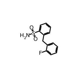 NS(=O)(=O)c1ccccc1Cc1ccccc1F